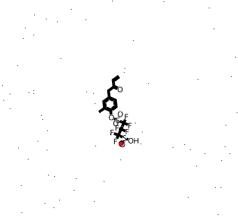 C=CC(=O)Cc1ccc(OS(=O)(=O)C(F)(F)C(F)(F)C(F)(F)S(=O)(=O)O)c(C)c1